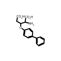 NC(C(=O)O)C(CC(=O)O)Oc1ccc(-c2ccccc2)cc1